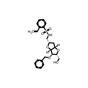 C=Cc1ccccc1S(=O)(=O)NC[C@@H]1C[C@@H]2O[C@H](CO)[C@@H](OCc3ccccc3)[C@@H]2O1